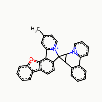 Cc1cc[n+]2c(c1)-c1c(ccc3c1oc1ccccc13)C21C2c3ccccc3-c3cccc[n+]3C21